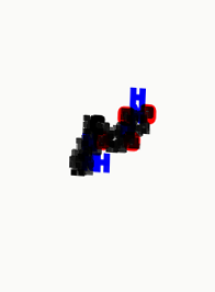 O=C1CCC(N2Cc3cc(O[C@@H]4CCCC[C@H]4N4CC(C5CCCCN5)C4)ccc3C2=O)C(=O)N1